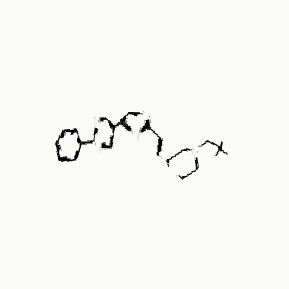 FC(F)(F)CN1CCC[C@@H](C=Cc2nc(-c3cnc(-c4ccccc4)nc3)c[nH]2)C1